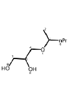 CCCC(C)OCC(O)CO